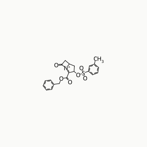 Cc1cccc(S(=O)(=O)OC2CC3CC(=O)[N+]3=C2C(=O)OCc2ccccc2)c1